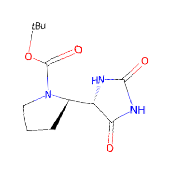 CC(C)(C)OC(=O)N1CCC[C@@H]1[C@@H]1NC(=O)NC1=O